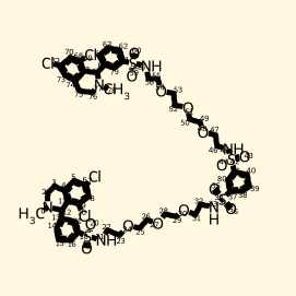 CN1CCc2cc(Cl)cc(Cl)c2C1c1cccc(S(=O)(=O)NCCOCCOCCOCCNS(=O)(=O)c2cccc(S(=O)(=O)NCCOCCOCCOCCNS(=O)(=O)c3cccc(C4c5c(Cl)cc(Cl)cc5CCN4C)c3)c2)c1